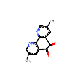 Cc1cnc2c(c1)C(=O)C(=O)c1cc(C)cnc1-2